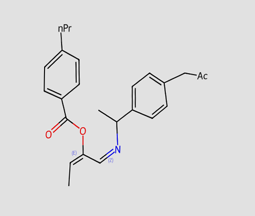 C/C=C(\C=N/C(C)c1ccc(CC(C)=O)cc1)OC(=O)c1ccc(CCC)cc1